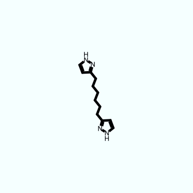 c1cc(CCCCCCc2cc[nH]n2)n[nH]1